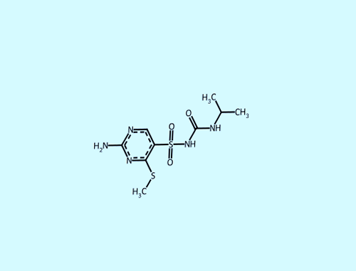 CSc1nc(N)ncc1S(=O)(=O)NC(=O)NC(C)C